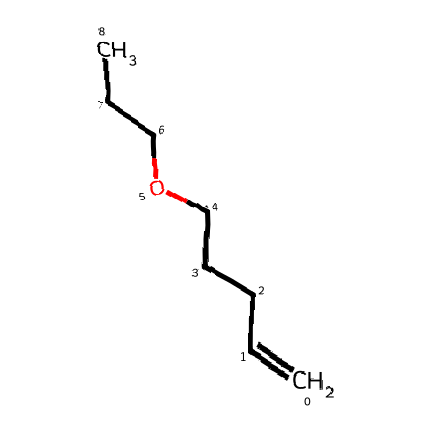 C=CCC[CH]OCCC